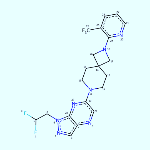 FC(F)Cn1ncc2ncc(N3CCC4(CC3)CN(c3ncccc3C(F)(F)F)C4)nc21